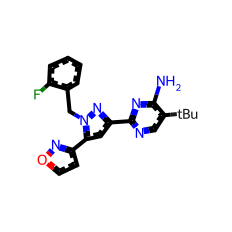 CC(C)(C)c1cnc(-c2cc(-c3ccon3)n(Cc3ccccc3F)n2)nc1N